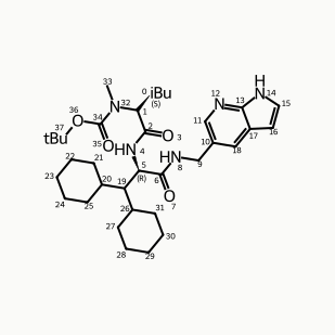 CC[C@H](C)C(C(=O)N[C@@H](C(=O)NCc1cnc2[nH]ccc2c1)C(C1CCCCC1)C1CCCCC1)N(C)C(=O)OC(C)(C)C